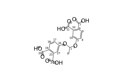 CC(Oc1ccc(C(=O)O)c(C(=O)O)c1)Oc1ccc(C(=O)O)c(C(=O)O)c1